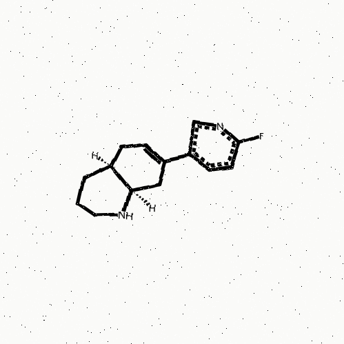 Fc1ccc(C2=CC[C@@H]3CCCN[C@@H]3C2)cn1